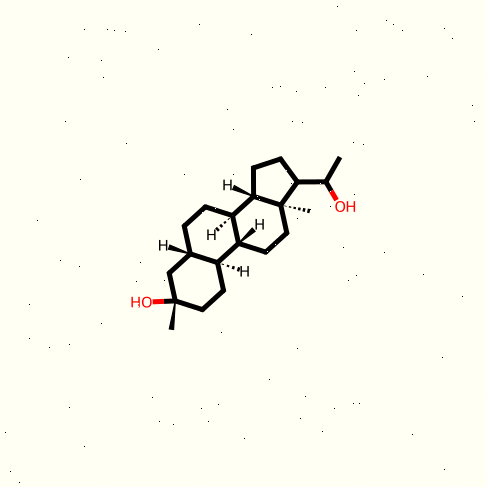 CC(O)C1CC[C@H]2[C@@H]3CC[C@H]4C[C@@](C)(O)CC[C@@H]4[C@H]3CC[C@]12C